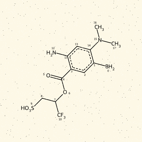 Bc1cc(C(=O)OC(CS(=O)(=O)O)C(F)(F)F)c(N)cc1N(C)C